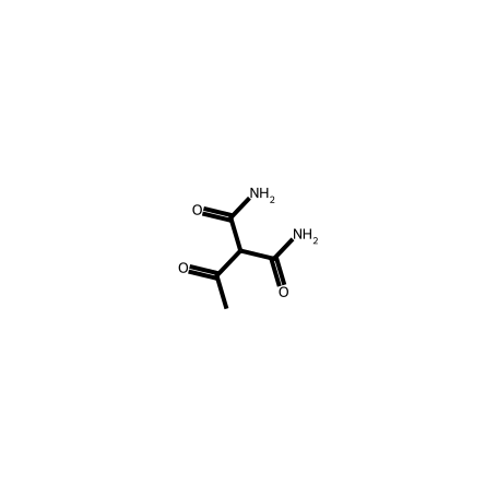 CC(=O)C(C(N)=O)C(N)=O